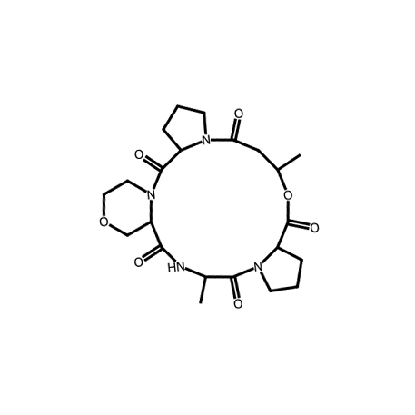 CC1CC(=O)N2CCCC2C(=O)N2CCOCC2C(=O)NC(C)C(=O)N2CCCC2C(=O)O1